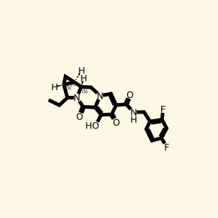 CCC1[C@H]2C[C@H]2[C@H]2Cn3cc(C(=O)NCc4ccc(F)cc4F)c(=O)c(O)c3C(=O)N12